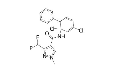 Cn1cc(C(=O)NC2(Cl)C=C(Cl)C=CC2c2ccccc2)c(C(F)F)n1